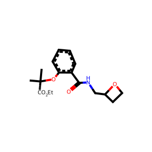 CCOC(=O)C(C)(C)Oc1ccccc1C(=O)NCC1CCO1